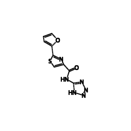 O=C(Nc1nnn[nH]1)c1csc(-c2ccco2)n1